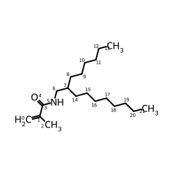 C=C(C)C(=O)NCC(CCCCCC)CCCCCCCC